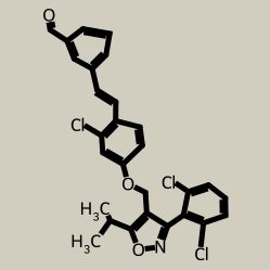 CC(C)c1onc(-c2c(Cl)cccc2Cl)c1COc1ccc(/C=C/c2cccc(C=O)c2)c(Cl)c1